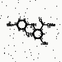 COC(=O)c1cc(C(C)(C)C)ccc1Nc1ccc(C(C)(C)C)cc1C